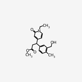 CCn1ccc(C(CC(=O)OC)c2ccc(C)c(CO)c2)cc1=O